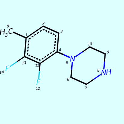 Cc1ccc(N2CCNCC2)c(F)c1F